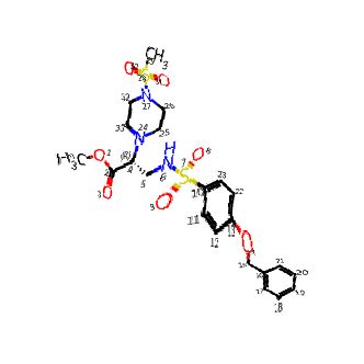 COC(=O)[C@@H](CNS(=O)(=O)c1ccc(OCc2ccccc2)cc1)N1CCN(S(C)(=O)=O)CC1